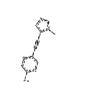 CCC(C)c1cnc(C#Cc2cncn2C)cn1